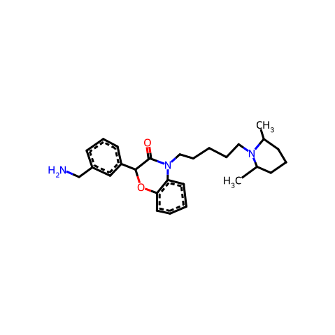 CC1CCCC(C)N1CCCCCN1C(=O)C(c2cccc(CN)c2)Oc2ccccc21